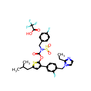 CCc1nccn1Cc1ccc(-c2cc(CC(C)C)sc2OC(=O)N(Cc2ccc(F)cc2)[SH](=O)=O)cc1F.O=C(O)C(F)(F)F